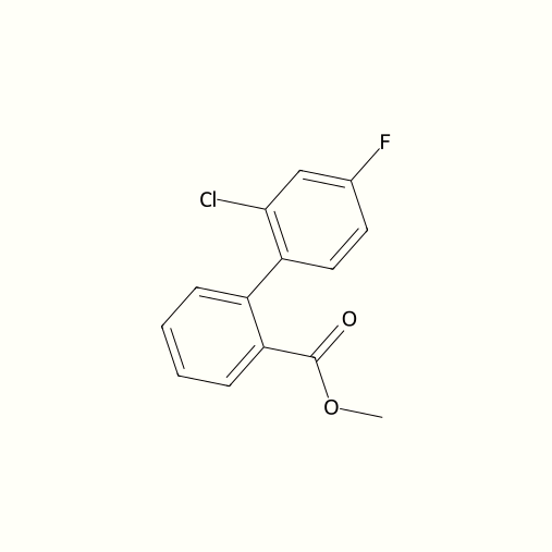 COC(=O)c1ccccc1-c1ccc(F)cc1Cl